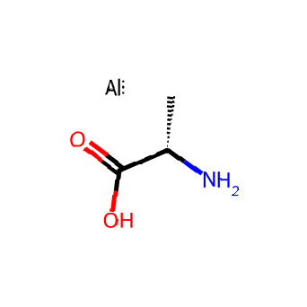 C[C@H](N)C(=O)O.[Al]